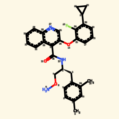 Cc1ccc(C[C@H](CON)NC(=O)c2c(Oc3cccc(C4CC4)c3F)cnc3ccccc23)c(C)c1